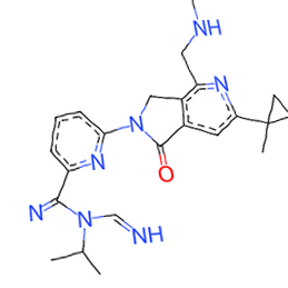 CNCc1nc(C2(C)CC2)cc2c1CN(c1cccc(C(=N)N(C=N)C(C)C)n1)C2=O